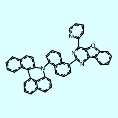 c1ccc(-c2nc(-c3cccc4c(N5c6ccc7ccccc7c6-c6cccc7cccc5c67)cccc34)nc3c2oc2ccccc23)nc1